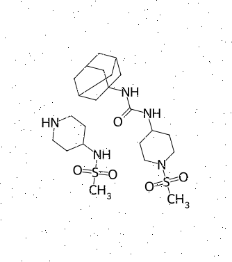 CS(=O)(=O)N1CCC(NC(=O)NC23CC4CC(CC(C4)C2)C3)CC1.CS(=O)(=O)NC1CCNCC1